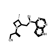 C=C(CC#N)N1C[C@H](C)C1CN(CC)c1ncnc2[nH]ccc12